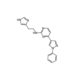 c1ccc(-n2cc(-c3ccnc(NCCc4c[nH]cn4)n3)cn2)cc1